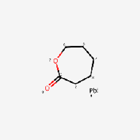 O=C1CCCCCO1.[Pb]